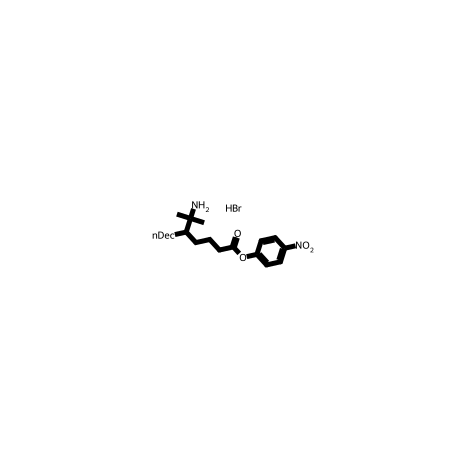 Br.CCCCCCCCCCC(CCCC(=O)Oc1ccc([N+](=O)[O-])cc1)C(C)(C)N